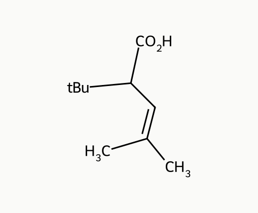 CC(C)=CC(C(=O)O)C(C)(C)C